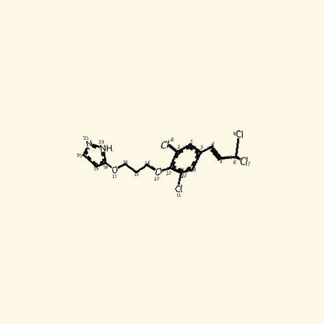 Clc1cc(C=CC(Cl)Cl)cc(Cl)c1OCCCOc1ccn[nH]1